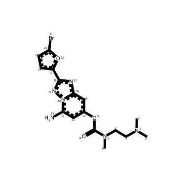 CN(C)CCN(C)C(=O)Oc1cc(N)n2nc(-c3ccc(Br)o3)nc2c1